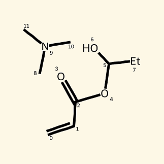 C=CC(=O)OC(O)CC.CN(C)C